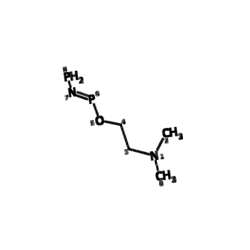 CN(C)CCOP=NP